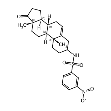 C[C@]12CCC(NS(=O)(=O)c3cccc([N+](=O)[O-])c3)CC1=CC[C@@H]1[C@@H]2CC[C@]2(C)C(=O)CC[C@@H]12